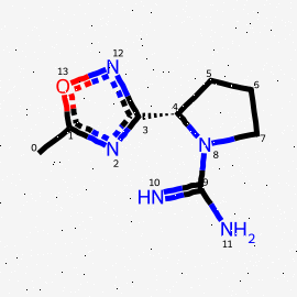 Cc1nc([C@@H]2CCCN2C(=N)N)no1